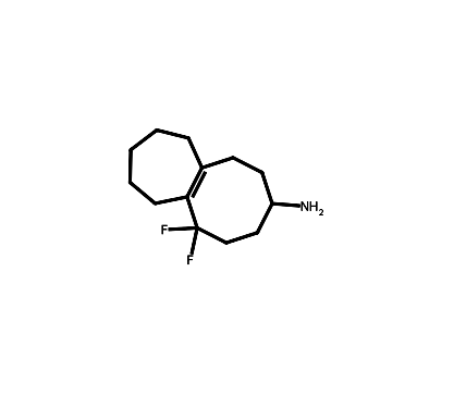 NC1CCC2=C(CCCCC2)C(F)(F)CC1